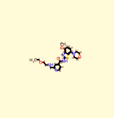 CCOCCNCc1cc(C(=O)Nc2nc3c(OC)ccc(N4CCOCC4)c3s2)ccn1